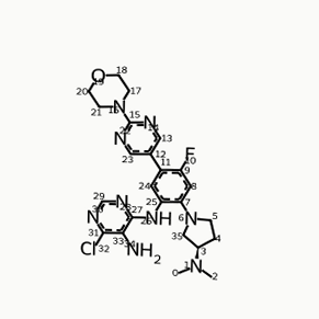 CN(C)[C@@H]1CCN(c2cc(F)c(-c3cnc(N4CCOCC4)nc3)cc2Nc2ncnc(Cl)c2N)C1